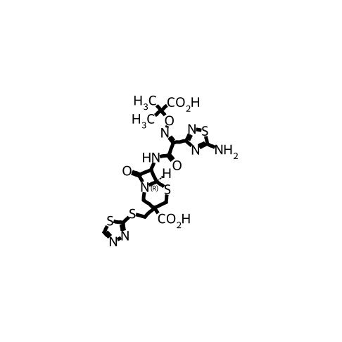 CC(C)(ON=C(C(=O)NC1C(=O)N2CC(CSc3nncs3)(C(=O)O)CS[C@H]12)c1nsc(N)n1)C(=O)O